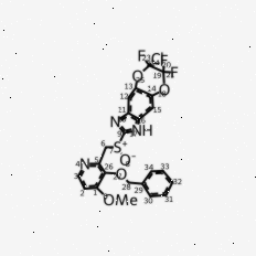 COc1ccnc(C[S+]([O-])c2nc3cc4c(cc3[nH]2)OC(F)(F)C(F)(Cl)O4)c1OCc1ccccc1